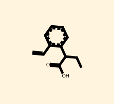 C=Cc1ccccc1C(CC)C(=O)O